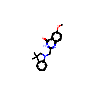 COc1ccc2nc(CN3CC(C)(C)c4ccccc43)[nH]c(=O)c2c1